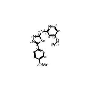 COc1ccc(-c2nnc(Nc3cc(OC(C)C)ccn3)s2)nc1